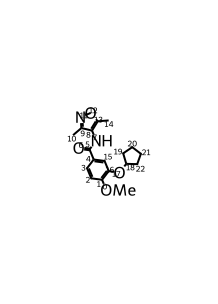 COc1ccc(C(=O)Nc2c(C)noc2C)cc1OC1CCCC1